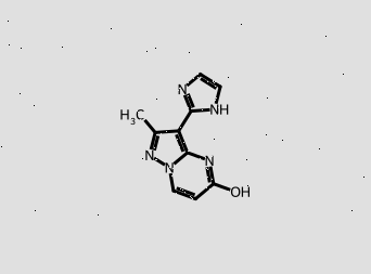 Cc1nn2ccc(O)nc2c1-c1ncc[nH]1